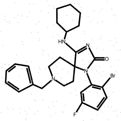 O=C1N=C(NC2CCCCC2)C2(CCN(Cc3ccccc3)CC2)N1c1cc(F)ccc1Br